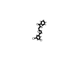 O=C1C(=Cc2ccc(-c3cc(Cl)cc(Cl)c3)o2)Sc2ccccc21